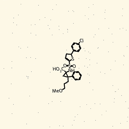 COCCCC1(c2ccccc2)CC1(NS(=O)(=O)C1=CCC(c2ccc(Cl)cc2)S1)C(=O)O